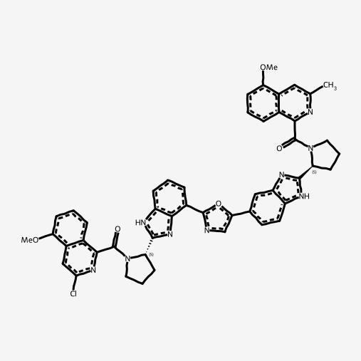 COc1cccc2c(C(=O)N3CCC[C@H]3c3nc4cc(-c5cnc(-c6cccc7[nH]c([C@@H]8CCCN8C(=O)c8nc(Cl)cc9c(OC)cccc89)nc67)o5)ccc4[nH]3)nc(C)cc12